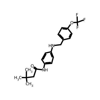 CC(C)(C)CC(=O)Nc1ccc(NCc2ccc(OC(F)(F)F)cc2)cc1